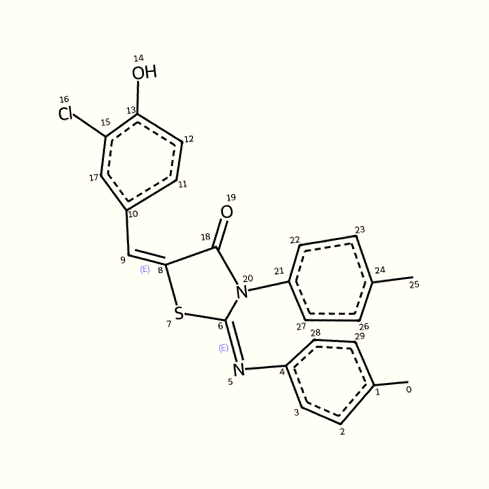 Cc1ccc(/N=C2/S/C(=C/c3ccc(O)c(Cl)c3)C(=O)N2c2ccc(C)cc2)cc1